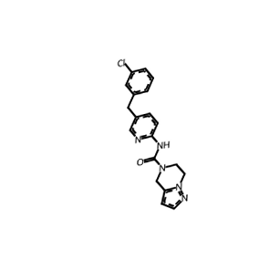 O=C(Nc1ccc(Cc2cccc(Cl)c2)cn1)N1CCn2nccc2C1